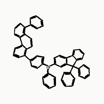 c1ccc(-c2cccc3c2ccc2c(-c4ccc(N(c5ccccc5)c5ccc6c(c5)C(c5ccccc5)(c5ccccc5)c5ccccc5-6)cc4)cccc23)cc1